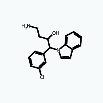 NCCC(O)C(c1cccc(Cl)c1)n1ccc2ccccc21